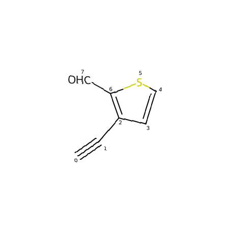 C#Cc1ccsc1C=O